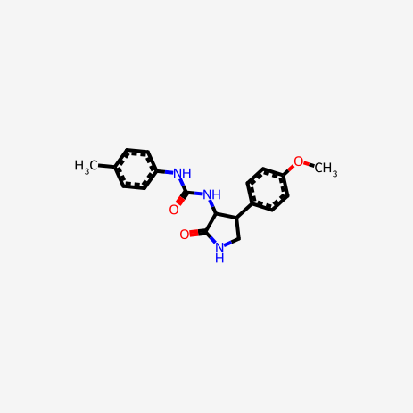 COc1ccc(C2CNC(=O)C2NC(=O)Nc2ccc(C)cc2)cc1